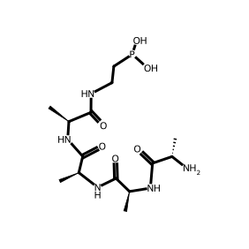 C[C@H](N)C(=O)N[C@@H](C)C(=O)N[C@@H](C)C(=O)N[C@@H](C)C(=O)NCCP(O)O